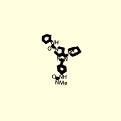 CNC(=O)Nc1ccc(-c2nc3c(c(N4CC5CCC(C4)O5)n2)CCN(C(=O)NC2CCCCC2)C3)cc1